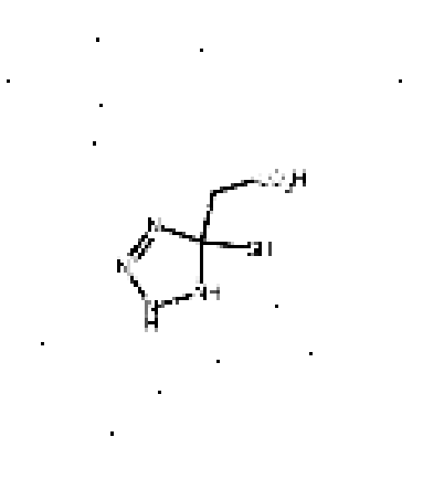 O=C(O)CC1(S)N=NNN1